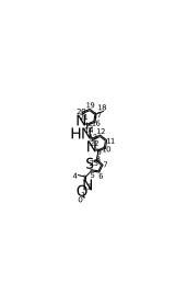 CON=C(C)c1ccc(-c2cccc(Nc3cc(C)ccn3)n2)s1